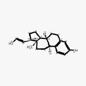 C[C@]12CC[C@@H]3c4ccc(O)cc4CC[C@H]3[C@@H]1CC[C@@H]2C=CO